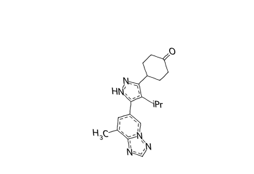 Cc1cc(-c2[nH]nc(C3CCC(=O)CC3)c2C(C)C)cn2ncnc12